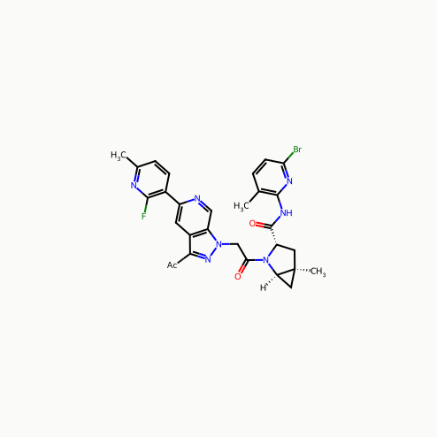 CC(=O)c1nn(CC(=O)N2[C@H](C(=O)Nc3nc(Br)ccc3C)C[C@@]3(C)C[C@@H]23)c2cnc(-c3ccc(C)nc3F)cc12